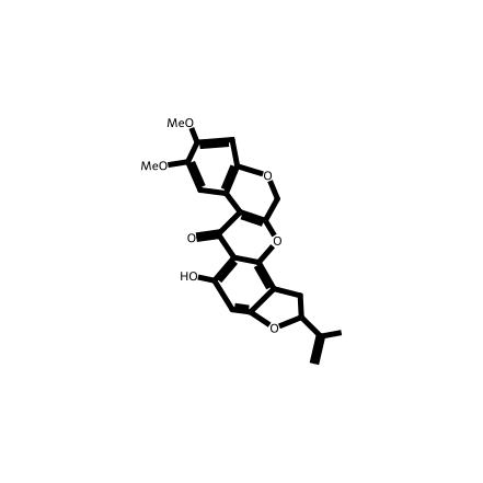 C=C(C)C1Cc2c(cc(O)c3c(=O)c4c(oc23)COc2cc(OC)c(OC)cc2-4)O1